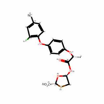 C[C@@H](Oc1ccc(Oc2ccc(C#N)cc2F)cc1)C(=O)O[C@H]1CS[C@H](C(=O)O)O1